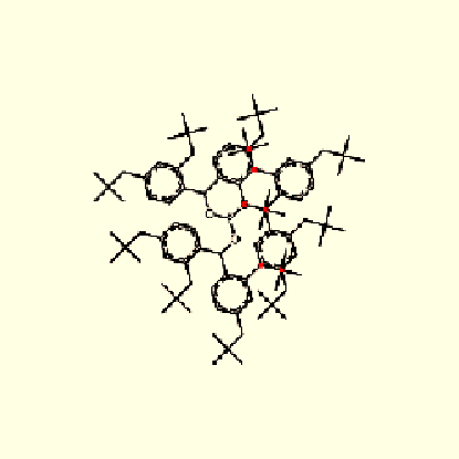 CC(C)(C)Cc1ccc(C(OP(OC(c2ccc(CC(C)(C)C)cc2CC(C)(C)C)c2ccc(CC(C)(C)C)cc2CC(C)(C)C)OC(c2ccc(CC(C)(C)C)cc2CC(C)(C)C)c2ccc(CC(C)(C)C)cc2CC(C)(C)C)c2ccc(CC(C)(C)C)cc2CC(C)(C)C)c(CC(C)(C)C)c1